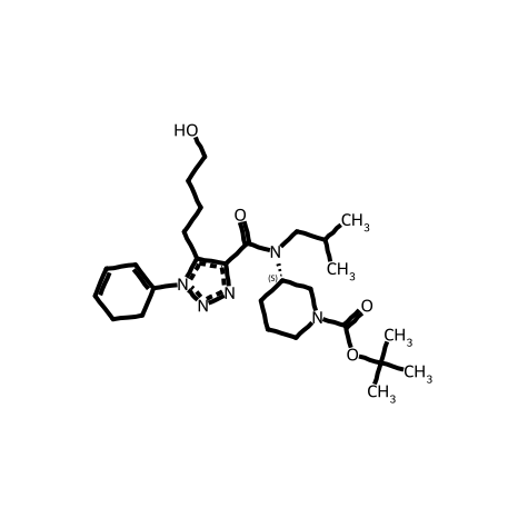 CC(C)CN(C(=O)c1nnn(C2=CC=CCC2)c1CCCCO)[C@H]1CCCN(C(=O)OC(C)(C)C)C1